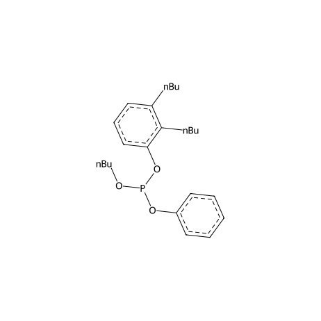 CCCCOP(Oc1ccccc1)Oc1cccc(CCCC)c1CCCC